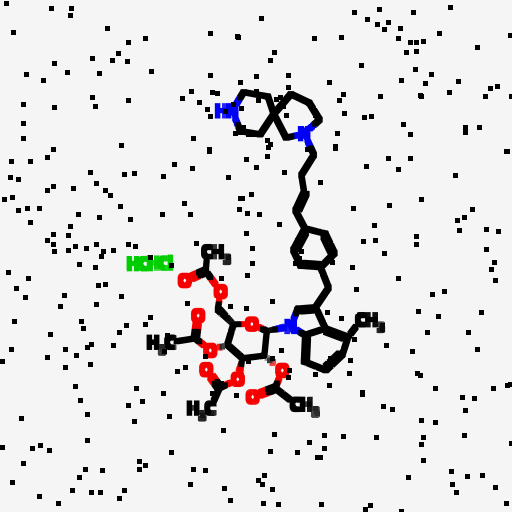 CC(=O)OC[C@H]1O[C@@H](n2cc(Cc3ccc(/C=C/CCN4CCCC5(CCNCC5)C4)cc3)c3c(C)cccc32)[C@H](OC(C)=O)[C@@H](OC(C)=O)[C@@H]1OC(C)=O.Cl.Cl